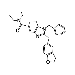 CCN(CC)C(=O)c1ccc2c(c1)nc(Cc1ccc3c(c1)CCO3)n2Cc1ccccc1